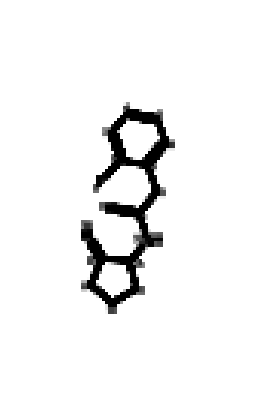 O=C(Cc1ccccc1F)NC1CCCC1=O